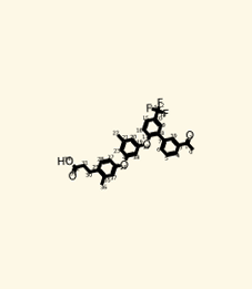 CC(=O)c1cccc(-c2cc(C(F)(F)F)ccc2Oc2cc(C)cc(Oc3ccc(CCC(=O)O)c(C)c3)c2)c1